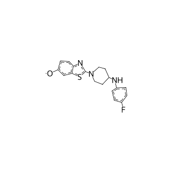 [O]c1ccc2nc(N3CCC(Nc4ccc(F)cc4)CC3)sc2c1